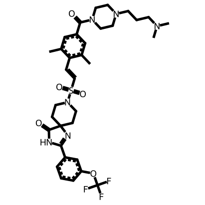 Cc1cc(C(=O)N2CCN(CCCN(C)C)CC2)cc(C)c1C=CS(=O)(=O)N1CCC2(CC1)N=C(c1cccc(OC(F)(F)F)c1)NC2=O